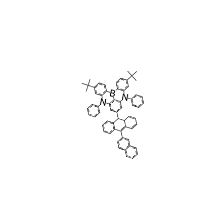 CC(C)(C)c1ccc2c(c1)N(c1ccccc1)c1cc(C3c4ccccc4C(c4ccc5ccccc5c4)=C4C=CC=CC43)cc3c1B2c1ccc(C(C)(C)C)cc1N3c1ccccc1